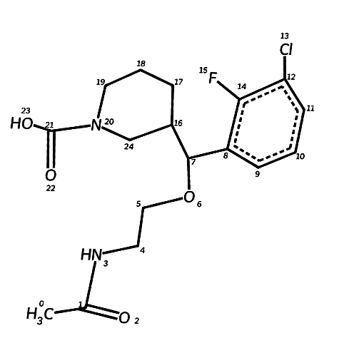 CC(=O)NCCOC(c1cccc(Cl)c1F)C1CCCN(C(=O)O)C1